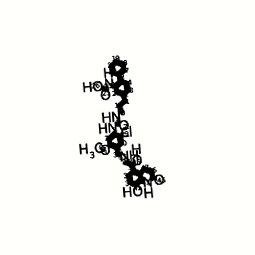 COc1cc(NC(=O)NCCCc2ccc(-c3ccccc3)c(NC(=O)O)c2)c(Cl)cc1CNC[C@H](O)c1ccc(O)c2[nH]c(=O)ccc12